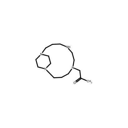 CC(=O)CN1CCCN2CCN(CCCNCC1)CC2